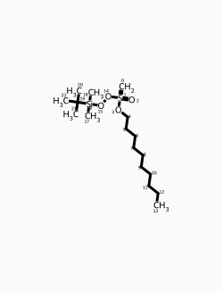 C=S(=O)(OCCCCCCCCCC)OO[Si](C)(C)C(C)(C)C